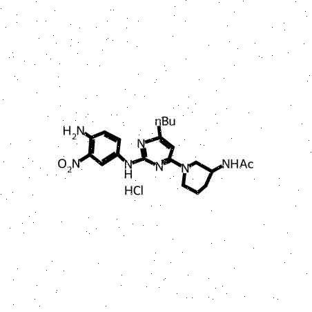 CCCCc1cc(N2CCCC(NC(C)=O)C2)nc(Nc2ccc(N)c([N+](=O)[O-])c2)n1.Cl